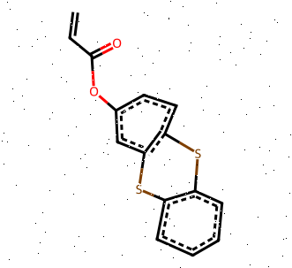 C=CC(=O)Oc1ccc2c(c1)Sc1ccccc1S2